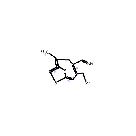 CCCS/C1=C\C(CS)=C(\C=N)CC/C=C/S1